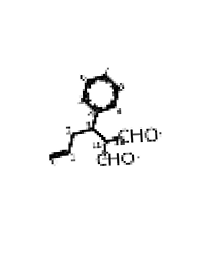 C=CCC(c1ccccc1)C([C]=O)[C]=O